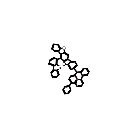 c1ccc(-c2ccc(C(c3ccc4c(c3)oc3c(-c5cccc6c5sc5ccccc56)c5c(cc34)oc3ccccc35)c3ccccc3-c3ccccc3)cc2)cc1